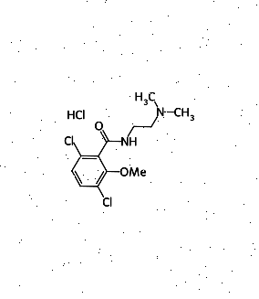 COc1c(Cl)ccc(Cl)c1C(=O)NCCN(C)C.Cl